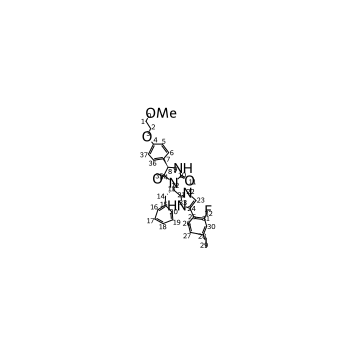 COCCOc1ccc([C@H]2NC(=O)N([C@@H](Cc3ccccc3)c3ncc(-c4ccc(I)cc4F)[nH]3)C2=O)cc1